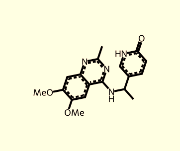 COc1cc2nc(C)nc(NC(C)c3ccc(=O)[nH]c3)c2cc1OC